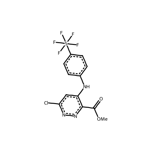 COC(=O)c1nnc(Cl)cc1Nc1ccc(S(F)(F)(F)(F)F)cc1